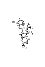 CCS(=O)(=O)c1c(-c2nc3cc(C(F)(F)F)ncc3n2C)sc2c(I)csc12